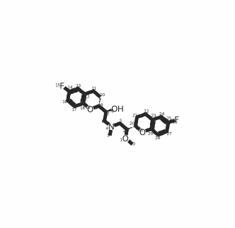 COC(CN(C)C[C@H](O)[C@H]1CCc2cc(F)ccc2O1)[C@@H]1CCc2cc(F)ccc2O1